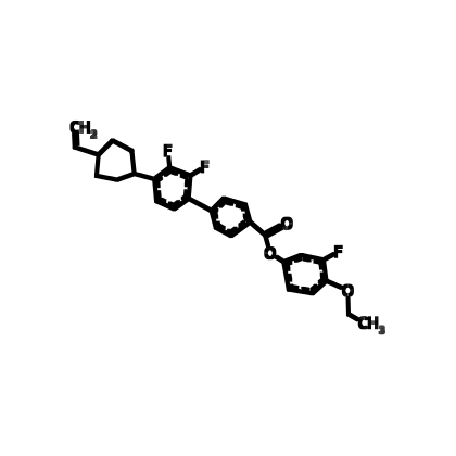 C=CC1CCC(c2ccc(-c3ccc(C(=O)Oc4ccc(OCC)c(F)c4)cc3)c(F)c2F)CC1